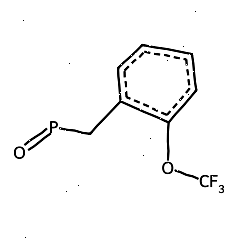 O=PCc1ccccc1OC(F)(F)F